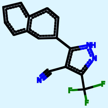 N#Cc1c(C(F)(F)F)n[nH]c1-c1ccc2ccccc2c1